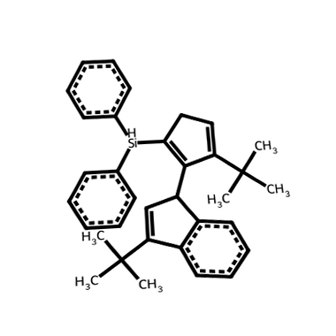 CC(C)(C)C1=CCC([SiH](c2ccccc2)c2ccccc2)=C1C1C=C(C(C)(C)C)c2ccccc21